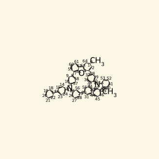 CC1C=Cc2oc3c(-c4ccc(N(c5ccc(-c6ccccc6)cc5)c5cccc(-c6cccc(-c7ccccc7N7c8ccccc8C8(C)C=CC=CC78)c6)c5)cc4)c#ccc3c2C1